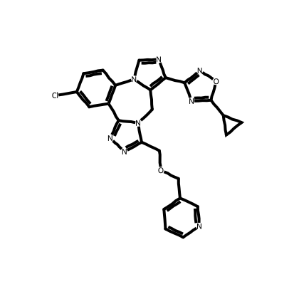 Clc1ccc2c(c1)-c1nnc(COCc3cccnc3)n1Cc1c(-c3noc(C4CC4)n3)ncn1-2